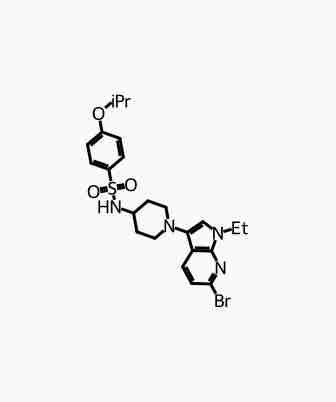 CCn1cc(N2CCC(NS(=O)(=O)c3ccc(OC(C)C)cc3)CC2)c2ccc(Br)nc21